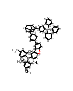 Cc1cc(C)c(B(c2ccc3oc4ccc(-c5ccc(C67CC8CC(C6)CC(c6ccc([Si](c9ccccc9)(c9ccccc9)c9ccccc9)cc6)(C8)C7)cc5)cc4c3c2)c2c(C)cc(C)cc2C)c(C)c1